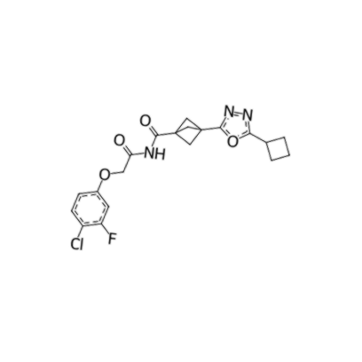 O=C(COc1ccc(Cl)c(F)c1)NC(=O)C12CC(c3nnc(C4CCC4)o3)(C1)C2